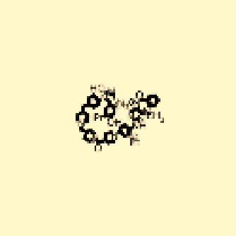 CCOc1cc(N2CCC(C(=O)N3CCC(CN4CCC(Cc5ccc(-n6c(O)nnc6-c6cc(C(C)C)c(O)cc6O)cc5)CC4)CC3)CC2)ccc1Nc1ncc2c(n1)N(C)c1ccccc1C(=O)N2C